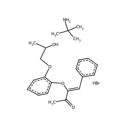 Br.CC(=O)C(=Cc1ccccc1)Oc1ccccc1OCC(C)O.CC(C)(C)N